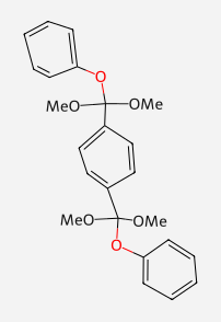 COC(OC)(Oc1ccccc1)c1ccc(C(OC)(OC)Oc2ccccc2)cc1